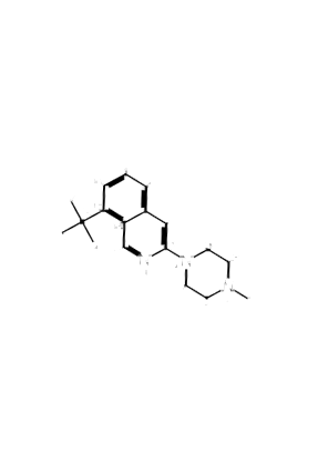 CN1CCN(c2cc3cccc(C(C)(C)C)c3cn2)CC1